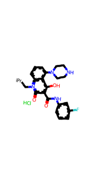 CC(C)Cn1c(=O)c(C(=O)Nc2cccc(F)c2)c(O)c2c(N3CCNCC3)cccc21.Cl